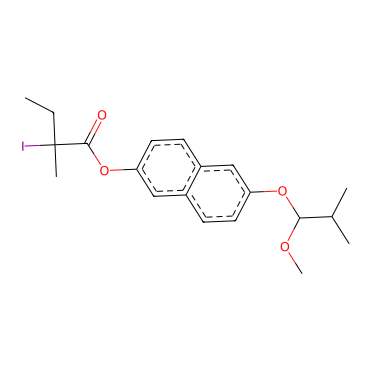 CCC(C)(I)C(=O)Oc1ccc2cc(OC(OC)C(C)C)ccc2c1